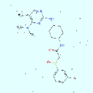 Cc1cnc(N[C@H]2CC[C@@H](NC(=O)C[S+]([O-])c3cccc(Br)c3)CC2)nc1N(C)C